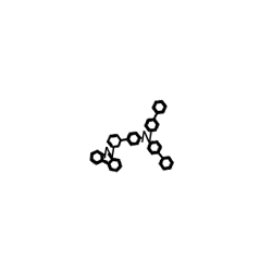 C1=CC(c2ccc(N(c3ccc(-c4ccccc4)cc3)c3ccc(-c4ccccc4)cc3)cc2)CC(n2c3ccccc3c3ccccc32)=C1